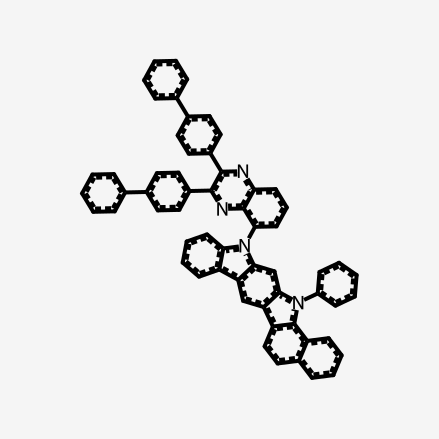 c1ccc(-c2ccc(-c3nc4cccc(-n5c6ccccc6c6cc7c8ccc9ccccc9c8n(-c8ccccc8)c7cc65)c4nc3-c3ccc(-c4ccccc4)cc3)cc2)cc1